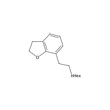 CCCCCCCCc1cc[c]c2c1OCC2